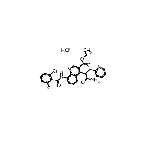 CCOC(=O)c1cnc2c(NC(=O)c3c(Cl)cccc3Cl)cccc2c1C(Cc1ccccn1)C(N)=O.Cl